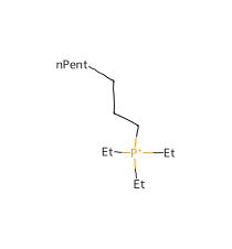 CCCCCCCC[P+](CC)(CC)CC